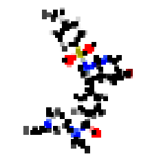 Cc1ccc(S(=O)(=O)n2cc(-c3ccc(C(=O)N(C)CCN(C)C)cc3)c3cc(Br)cnc32)cc1